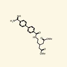 COC(=O)CC(CCNC(=O)c1ccc(-c2ccc(C(=N)N)cc2)cc1)CC(=O)OC